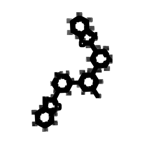 Cc1cc(-c2cncc(-c3nc4ccccc4o3)c2)cc(-c2cncc(-c3nc4ccccc4o3)c2)c1